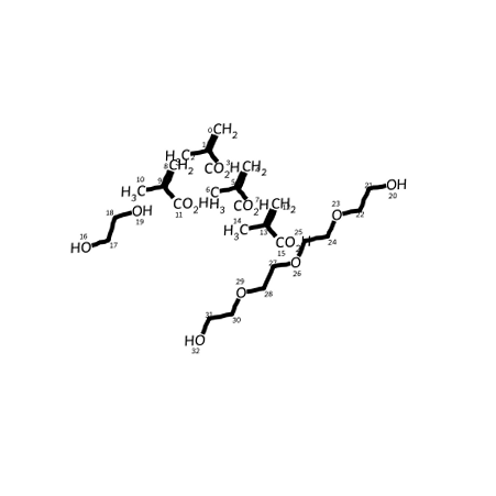 C=C(C)C(=O)O.C=C(C)C(=O)O.C=C(C)C(=O)O.C=C(C)C(=O)O.OCCO.OCCOCCOCCOCCO